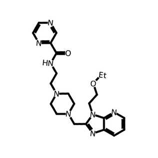 CCOCCn1c(CN2CCN(CCNC(=O)c3cnccn3)CC2)nc2cccnc21